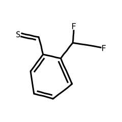 FC(F)c1ccccc1C=S